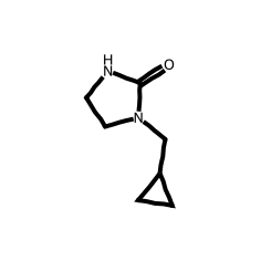 O=C1NCCN1CC1CC1